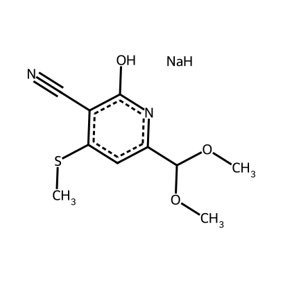 COC(OC)c1cc(SC)c(C#N)c(O)n1.[NaH]